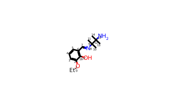 CCOc1cccc(C=NC(C)(C)C(C)(C)N)c1O